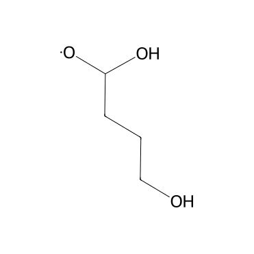 [O]C(O)CCCO